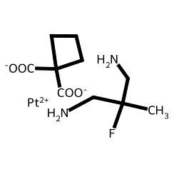 CC(F)(CN)CN.O=C([O-])C1(C(=O)[O-])CCC1.[Pt+2]